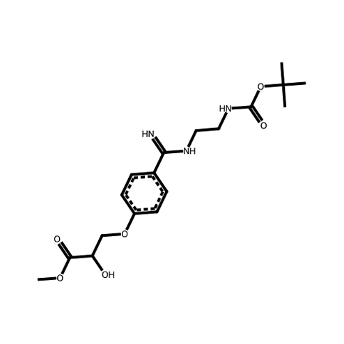 COC(=O)C(O)COc1ccc(C(=N)NCCNC(=O)OC(C)(C)C)cc1